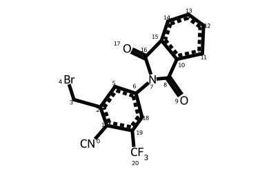 [C-]#[N+]c1c(CBr)cc(N2C(=O)c3ccccc3C2=O)cc1C(F)(F)F